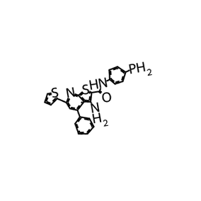 Nc1c(C(=O)Nc2ccc(P)cc2)sc2nc(-c3cccs3)cc(-c3ccccc3)c12